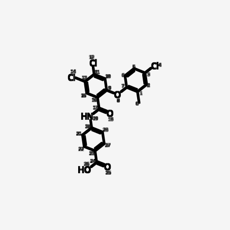 Cc1cc(Cl)ccc1Oc1cc(Cl)c(Cl)cc1C(=O)Nc1ccc(C(=O)O)cc1